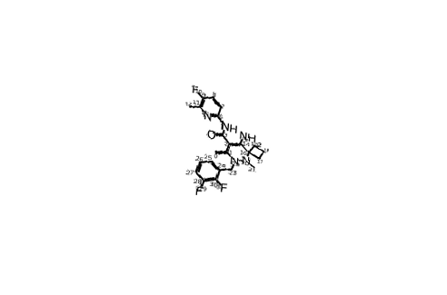 C=C1C(C(=O)Nc2ccc(F)c(C)n2)=C(N)C2(CCC2)N(C)N1Cc1cccc(F)c1F